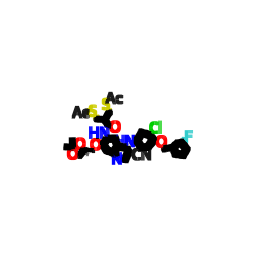 CC(=O)SCC(CSC(C)=O)C(=O)Nc1cc2c(Nc3ccc(OCc4cccc(F)c4)c(Cl)c3)c(C#N)cnc2cc1OC[C@H]1COC(C)(C)O1